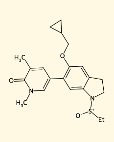 CC[S+]([O-])N1CCc2cc(OCC3CC3)c(-c3cc(C)c(=O)n(C)c3)cc21